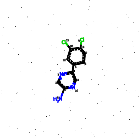 Nc1cnc(-c2ccc(Cl)c(Cl)c2)cn1